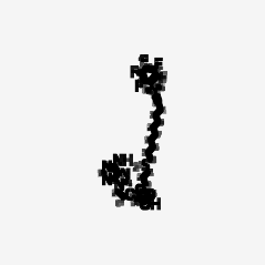 C[C@H](Cn1cnc2c(N)ncnc21)OCP(=O)(O)OCCCSCCCCCCCCCC#CS(C)(C)c1c(F)c(F)c(F)c(F)c1F